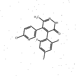 Cc1n[nH]c(=O)c(-c2c(F)cc(F)cc2F)c1-c1ccc(Cl)nc1